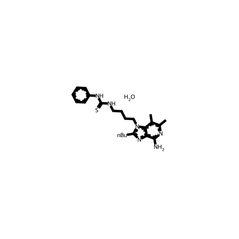 CCCCc1nc2c(N)nc(C)c(C)c2n1CCCCNC(=S)Nc1ccccc1.O